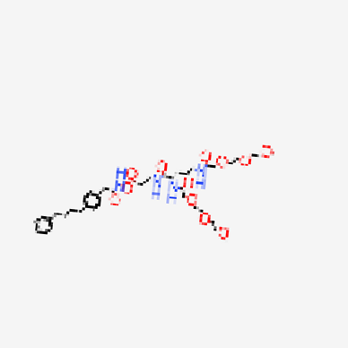 COCCOCCOCC(=O)NCCC[C@H](NC(=O)COCCOCCOC)C(=O)NCCC(=O)ONC(=O)Cc1ccc(CCCCc2ccccc2)cc1